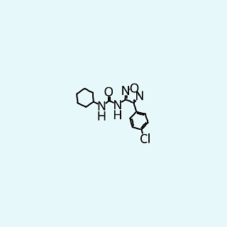 O=C(Nc1nonc1-c1ccc(Cl)cc1)NC1CCCCC1